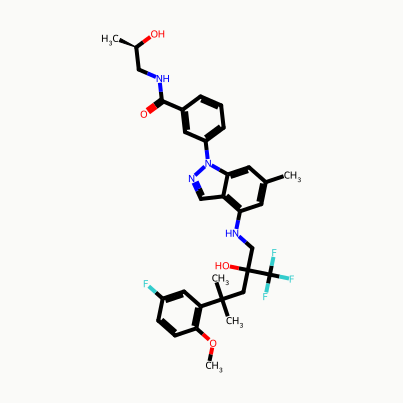 COc1ccc(F)cc1C(C)(C)CC(O)(CNc1cc(C)cc2c1cnn2-c1cccc(C(=O)NC[C@@H](C)O)c1)C(F)(F)F